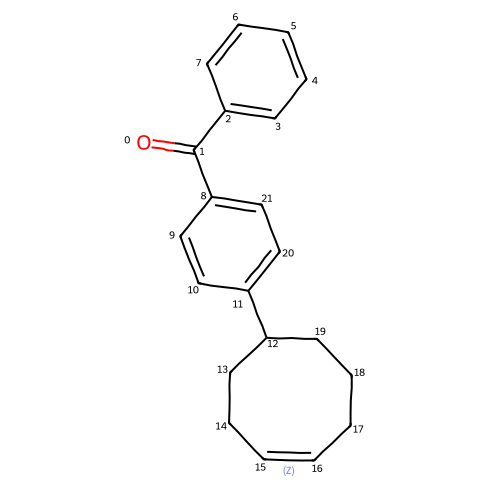 O=C(c1ccccc1)c1ccc(C2CC/C=C\CCC2)cc1